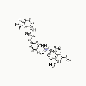 CNC(=O)C(CCC=O)N(C=O)C(=O)/C=C(\C)Nc1cccc(CCC(=O)Nc2cccc(C(F)(F)F)c2)c1